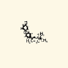 CC(=CCNC(C)(C)C)c1ccc(Oc2ccc(Cl)cc2)cc1